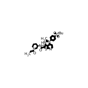 C=CC(=O)N1CCC[C@@H](NC(=O)c2sc3nccc4c3c2[nH]c(=C)n4-c2ccc(S(=O)(=O)C(C)(C)C)cc2)C1